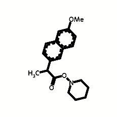 COc1ccc2cc(C(C)C(=O)ON3CCCCC3)ccc2c1